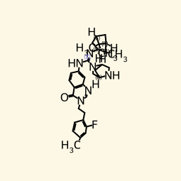 Cc1ccc(CCn2cnc3cc(N/C(=N/[C@H]4C[C@@H]5C[C@H]([C@@H]4C)C5(C)C)N4C[C@H]5CC4CN5)ccc3c2=O)c(F)c1